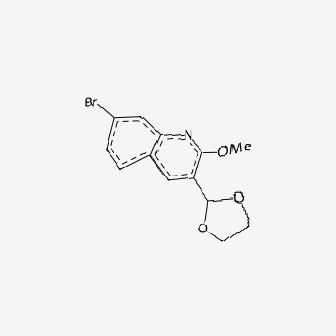 COc1nc2cc(Br)ccc2cc1C1OCCO1